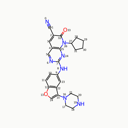 N#Cc1cc2cnc(Nc3ccc4occ(N5CCNCC5)c4c3)nc2n(C2CCCC2)c1=O